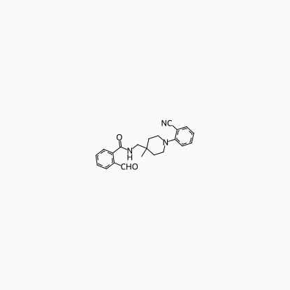 CC1(CNC(=O)c2ccccc2C=O)CCN(c2ccccc2C#N)CC1